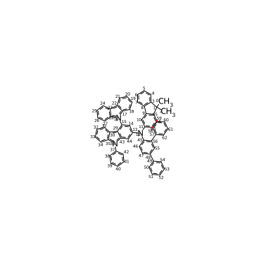 CC1(C)c2ccccc2-c2cc(N(c3cc(-n4c5ccccc5c5ccccc54)c4c5ccccc5n(-c5ccccc5)c4c3)c3ccc(-c4ccccc4)cc3-c3ccccc3)ccc21